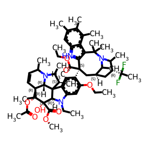 CCOC(=O)[C@]1(c2c(OCC)cc3c(c2C)C24[C@H](C)C(C)N5C(C)C=C[C@](CC)([C@H]52)[C@@H](OC(C)=O)[C@](O)(C(=O)OC)[C@@H]4N3CC)C[C@@H]2C[C@@H](C(C)(F)F)C(C)N(C2C)C(C)(C)c2c1[nH]c1cc(C)c(C)c(C)c21